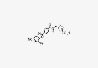 CC(C)c1cc(C#N)cc2nc(-c3ccc(C(=O)NCC4CCN(C(=O)O)C4)cc3)oc12